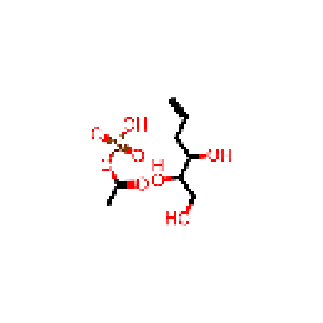 C=CCC(O)C(O)CO.CC(=O)OS(=O)(=O)O